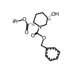 CC(C)OC(=O)[C@@H]1CC[C@H](O)CN1C(=O)OCc1ccccc1